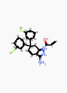 C=CC(=O)n1nc(N)c2c1CC(c1cccc(F)c1)(c1cccc(F)c1)C=C2